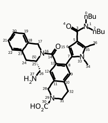 CCCCN(CCCC)C(=O)c1cc(-c2cc3c(cc2C(=O)N2Cc4ccccc4C[C@H]2CN)CN(C(=O)O)CC3)n(C)c1C